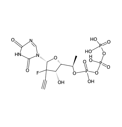 C#CC1(F)[C@@H](O)[C@@H]([C@@H](C)OP(=O)(O)OP(=O)(O)OP(=O)(O)O)O[C@H]1n1cnc(=O)[nH]c1=O